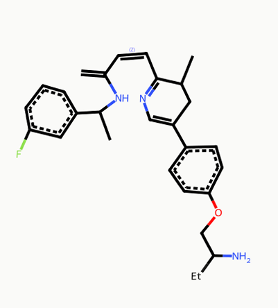 C=C(/C=C\C1=NC=C(c2ccc(OCC(N)CC)cc2)CC1C)NC(C)c1cccc(F)c1